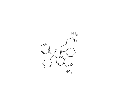 NC(=O)CCC[Si](CCCC(N)=O)(O[Si](c1ccccc1)(c1ccccc1)c1ccccc1)c1ccccc1